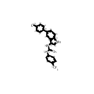 O=C(Nc1ccc(C(F)(F)F)cc1)Nc1c[nH]c2ccc(-c3ccc(Cl)cc3)cc12